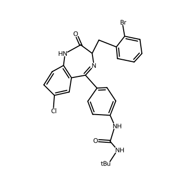 CC(C)(C)NC(=O)Nc1ccc(C2=NC(Cc3ccccc3Br)C(=O)Nc3ccc(Cl)cc32)cc1